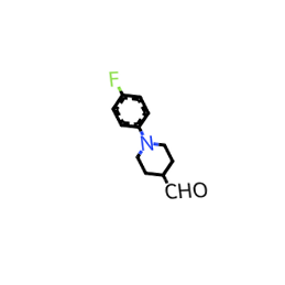 O=CC1CCN(c2ccc(F)cc2)CC1